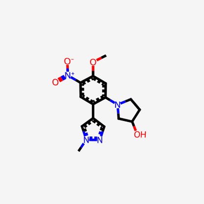 COc1cc(N2CCC(O)C2)c(-c2cnn(C)c2)cc1[N+](=O)[O-]